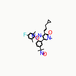 Cc1cc(F)cc(C)c1Oc1ccc(C(C)(C)N=O)cc1-c1cn(C)c(=O)c(/C=C/CC2CC2)c1N